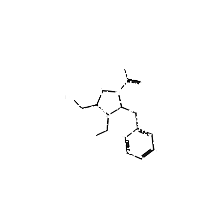 O=C(O)N1CC(CO)C(CO)C1Cc1ccccc1